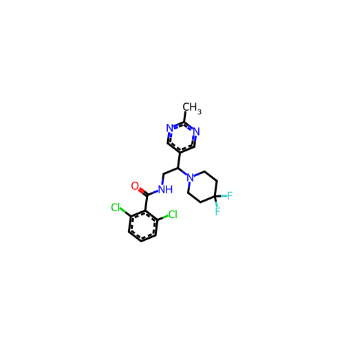 Cc1ncc(C(CNC(=O)c2c(Cl)cccc2Cl)N2CCC(F)(F)CC2)cn1